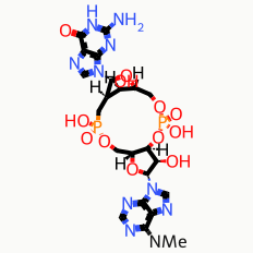 CNc1ncnc2c1ncn2[C@@H]1O[C@@H]2COP(=O)(O)C[C@@H]3[C@H](O)[C@@H](COP(=O)(O)O[C@H]2[C@H]1O)O[C@H]3n1cnc2c(=O)[nH]c(N)nc21